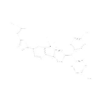 CCC1(CC)c2cc(-c3cnc(C=C(C#N)C(=O)O)s3)ccc2-c2ccc(N(c3ccc(OC)cc3)c3ccc(OC)cc3)cc21